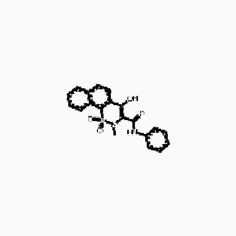 CN1C(C(=O)Nc2ccccc2)=C(O)c2ccc3ccccc3c2S1(=O)=O